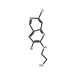 OCCNc1nc2cc(Cl)ncc2cc1Br